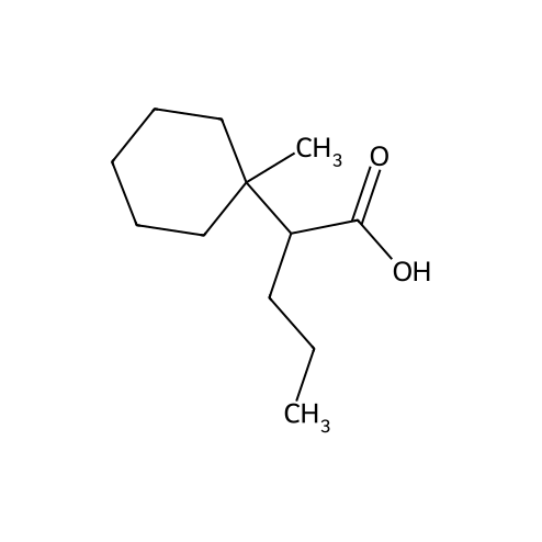 CCCC(C(=O)O)C1(C)CCCCC1